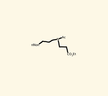 CCCCCCCCCCCCN(CCC(=O)OCC)C(C)=O